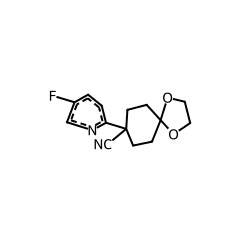 N#CC1(c2ccc(F)cn2)CCC2(CC1)OCCO2